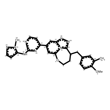 COc1ccc(CC2CCOc3cc(-c4ccnc(Nc5ccnn5C)n4)cc4nnc2n34)cc1C